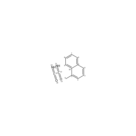 Cc1cccc2ccccc12.N=C=O.N=C=O